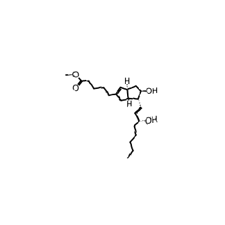 CCCCC[C@@H](O)C=C[C@@H]1[C@H]2CC(CCCCC(=O)OC)=C[C@H]2C[C@H]1O